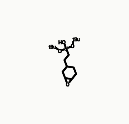 CC(C)(C)O[Si](O)(CCC1CCC2OC2C1)OC(C)(C)C